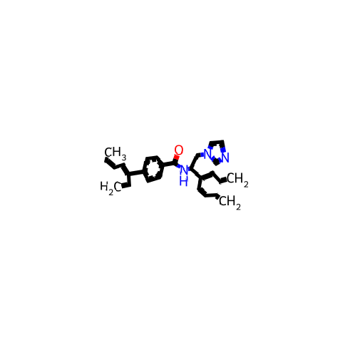 C=C/C=C\C(=C/C=C)C(Cn1ccnc1)NC(=O)c1ccc(/C(C=C)=C/C=C\C)cc1